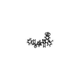 Cc1cccc(-c2[nH]c(C34CCC(C(=O)NCc5ccccc5)(CC3)CC4)nc2-c2ccc3c(c2)OCO3)n1